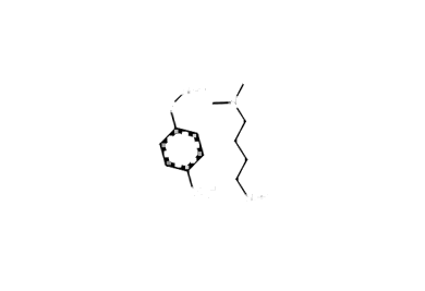 CCCCCCCCCCCCCCN(C)C.CCCCCCOc1ccc(C(=O)O)cc1